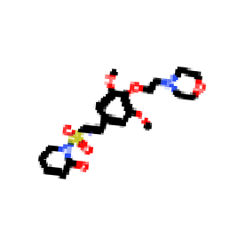 COc1cc(/C=C/S(=O)(=O)N2CCC=CC2=O)cc(OC)c1OCCN1CCOCC1